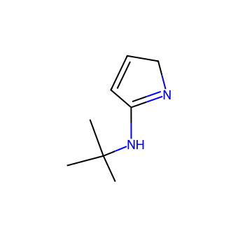 CC(C)(C)NC1=NCC=C1